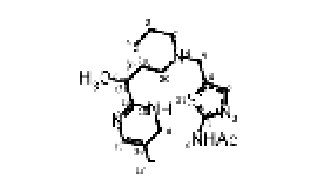 CC(=O)Nc1ncc(CN2CCC[C@@H]([C@H](C)C3=NC=C(F)CN3)C2)s1